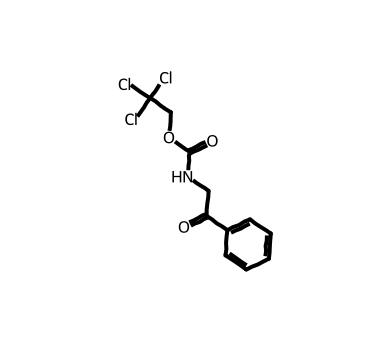 O=C(NCC(=O)c1ccccc1)OCC(Cl)(Cl)Cl